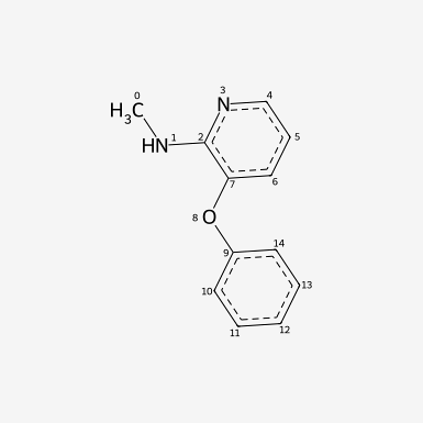 CNc1ncccc1Oc1ccccc1